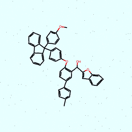 COc1ccc(C2(c3ccc(Oc4ccc(-c5ccc(C)cc5)cc4C(O)c4cc5ccccc5o4)cc3)c3ccccc3-c3ccccc32)cc1